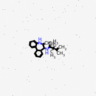 C=C1Nc2ccccc2C2C=CC=CC2C1NC(=C)C(C)(C)C(=C)C